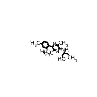 CCC(CO)Nc1nc(C)c(-c2ccc(C)cc2C)nc1C